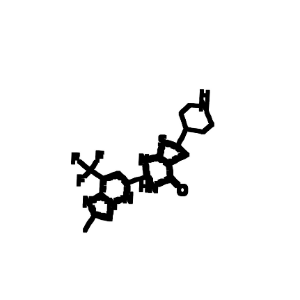 Cc1cn2nc(-c3nc4sc(C5CCNCC5)cc4c(=O)[nH]3)cc(C(F)(F)F)c2n1